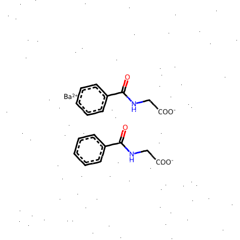 O=C([O-])CNC(=O)c1ccccc1.O=C([O-])CNC(=O)c1ccccc1.[Ba+2]